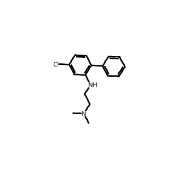 CN(C)CCNc1cc(Cl)ccc1-c1ccccc1